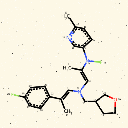 C/C(=C\N(/C=C(\C)N(F)c1ccc(C)nc1)CC1CCOC1)c1ccc(F)cc1